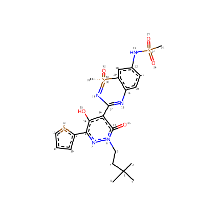 CC(C)(C)CCn1nc(-c2cccs2)c(O)c(C2=Nc3ccc(NS(C)(=O)=O)cc3[S@](C)(=O)=N2)c1=O